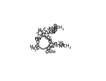 C=C[C@@H]1C[C@]1(NC(=O)[C@@H]1C[C@@H]2CN1C(=O)[C@H](C1CCCCC1)NC(=O)OCC(C)(C)CCCc1cc3c(cc(OCc4csc(C)n4)nc3cc1OC)O2)C(=O)NS(C)(=O)=O